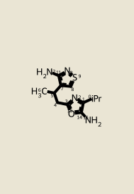 CC(C)c1nc(CC(C)c2csnc2N)oc1N